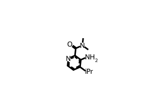 CC(C)c1ccnc(C(=O)N(C)C)c1N